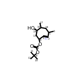 CC1/C=C/C(OC(=O)OC(C)(C)C)CC(O)C(C)C1